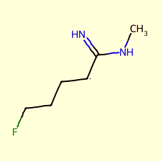 CNC(=N)[CH]CCCF